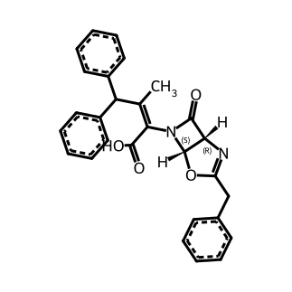 CC(=C(C(=O)O)N1C(=O)[C@@H]2N=C(Cc3ccccc3)O[C@@H]21)C(c1ccccc1)c1ccccc1